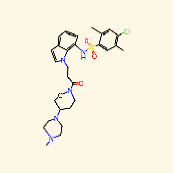 Cc1cc(S(=O)(=O)Nc2cccc3ccn(CCC(=O)N4CCC(N5CCN(C)CC5)CC4)c23)c(C)cc1Cl